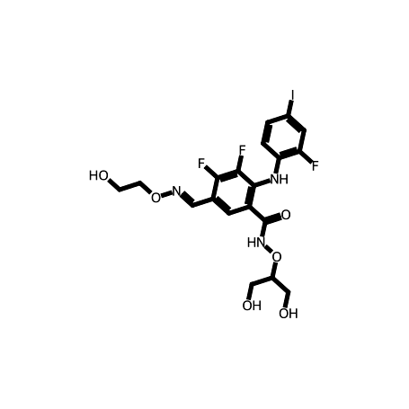 O=C(NOC(CO)CO)c1cc(C=NOCCO)c(F)c(F)c1Nc1ccc(I)cc1F